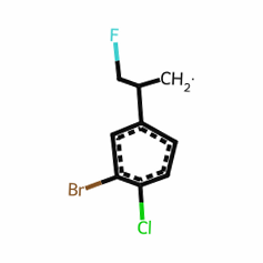 [CH2]C(CF)c1ccc(Cl)c(Br)c1